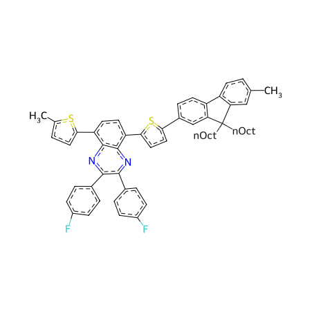 CCCCCCCCC1(CCCCCCCC)c2cc(C)ccc2-c2ccc(-c3ccc(-c4ccc(-c5ccc(C)s5)c5nc(-c6ccc(F)cc6)c(-c6ccc(F)cc6)nc45)s3)cc21